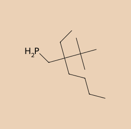 CCCCC(CC)(CP)C(C)(C)C